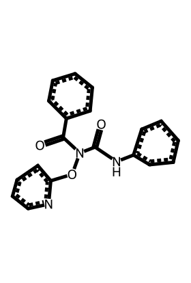 O=C(Nc1ccccc1)N(Oc1ccccn1)C(=O)c1ccccc1